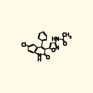 CC(=O)Nc1cc(-c2c(-c3ccccc3)c3cc(Cl)ccc3[nH]c2=O)on1